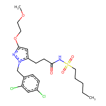 CCCCCS(=O)(=O)NC(=O)CCc1cc(OCCOC)nn1Cc1ccc(Cl)cc1Cl